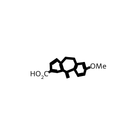 C=C1c2ccc(OC)cc2CCc2ccc(C(=O)O)cc21